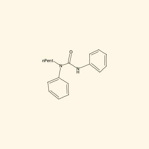 CCCCCN(C(=O)Nc1ccccc1)c1ccccc1